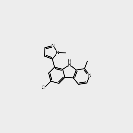 Cc1nccc2c1[nH]c1c(-c3ccnn3C)cc(Cl)cc12